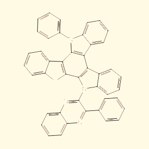 c1ccc(-c2nc3ccccc3nc2-n2c3ccccc3c3c4c5ccccc5n(-c5ccccc5)c4c4c5ccccc5sc4c32)cc1